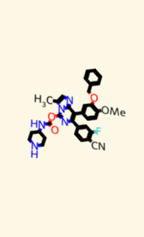 COc1ccc(-c2c(-c3ccc(C#N)c(F)c3)nc(OC(=O)NC3CCNCC3)n3c(C)cnc23)cc1OCc1ccccc1